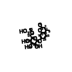 Cc1cc(=O)oc2cc(OC3O[C@H](COS(=O)(=O)O)[C@H](O)[C@H](O)[C@H]3O)ccc12